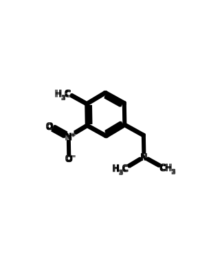 Cc1ccc(CN(C)C)cc1[N+](=O)[O-]